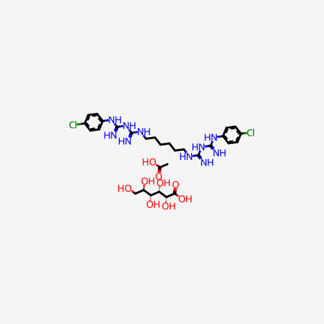 CC(=O)O.N=C(NCCCCCCNC(=N)NC(=N)Nc1ccc(Cl)cc1)NC(=N)Nc1ccc(Cl)cc1.O=C(O)[C@H](O)[C@@H](O)[C@H](O)[C@H](O)CO